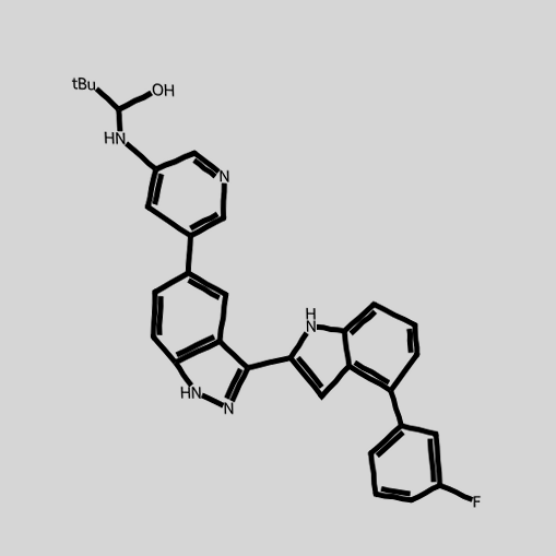 CC(C)(C)C(O)Nc1cncc(-c2ccc3[nH]nc(-c4cc5c(-c6cccc(F)c6)cccc5[nH]4)c3c2)c1